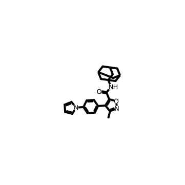 Cc1noc(C(=O)NC23CC4CC(CC(C4)C2)C3)c1-c1ccc(-n2cccc2)cc1